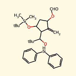 C=C1C(OC=O)CC(O[Si](C)(C)C(C)(C)C)C1C(O[SiH](c1ccccc1)c1ccccc1)C(C)(C)C